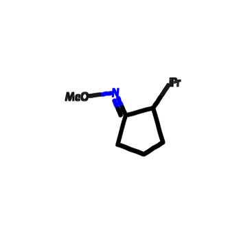 CO/N=C1\CCCC1C(C)C